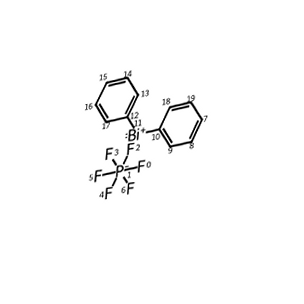 F[P-](F)(F)(F)(F)F.c1cc[c]([Bi+][c]2ccccc2)cc1